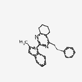 Cc1cc2ccccc2n1-c1nc2c(c(CCc3ccccc3)n1)CCCC2